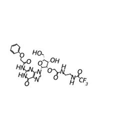 O=C(CO[C@H]1[C@@H](O)[C@@H](CO)O[C@H]1n1cnc2c(=O)[nH]c(NC(=O)COc3ccccc3)nc21)NCCNC(=O)C(F)(F)F